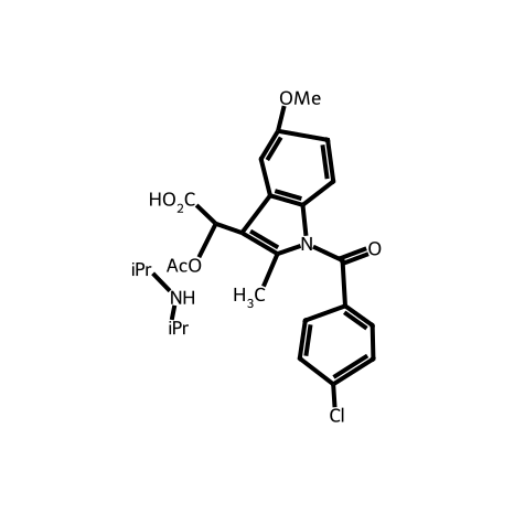 CC(C)NC(C)C.COc1ccc2c(c1)c(C(OC(C)=O)C(=O)O)c(C)n2C(=O)c1ccc(Cl)cc1